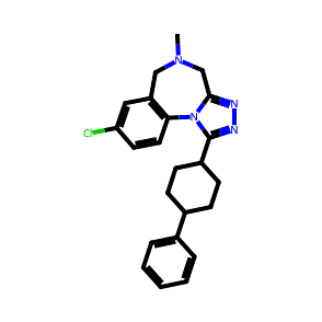 CN1Cc2cc(Cl)ccc2-n2c(nnc2C2CCC(c3ccccc3)CC2)C1